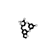 O=c1ccc(Cc2cc3c(c(Oc4cc(Cl)cc(Cl)c4)c2)OCC3)n[nH]1